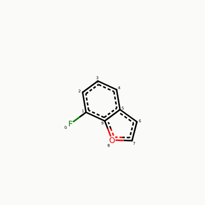 Fc1c[c]cc2ccoc12